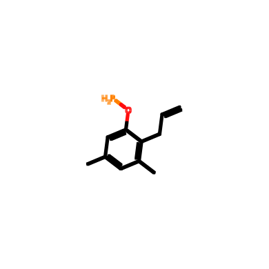 C=CCc1c(C)cc(C)cc1OP